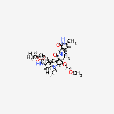 CCN(c1cc(OCCOC)cc(C(=O)NCc2c(C)cc(C)[nH]c2=O)c1C)C1CCC(NC(=O)OC(C)(C)C)CC1